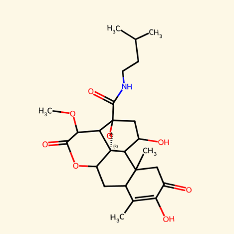 COC1C(=O)OC2CC3C(C)=C(O)C(=O)CC3(C)C3C(O)CC4(C(=O)NCCC(C)C)OC[C@@]23C14